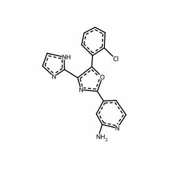 Nc1cc(-c2nc(-c3ncc[nH]3)c(-c3ccccc3Cl)o2)ccn1